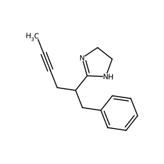 CC#CCC(Cc1ccccc1)C1=NCCN1